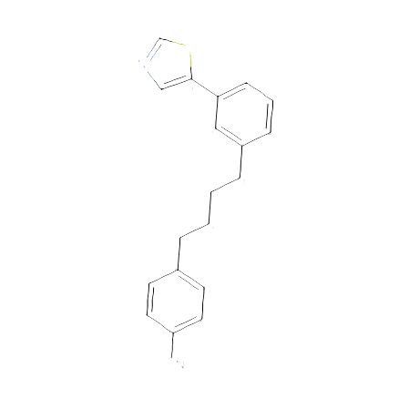 N#Cc1ccc(CCCCc2cccc(-c3cncs3)c2)cc1